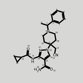 CC(c1ccccc1)N1CCC(CC#N)(n2cc(C(N)=O)c(NC(=O)C3CC3)n2)CC1